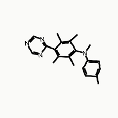 Cc1ccc(N(C)c2c(C)c(C)c(-c3ncncn3)c(C)c2C)cc1